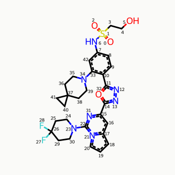 O=S(=O)(CCO)Nc1ccc(-c2nnc(-c3cc4cccn4c(N4CCC(F)(F)CC4)n3)o2)c(N2CCC3(CC2)CC3)c1